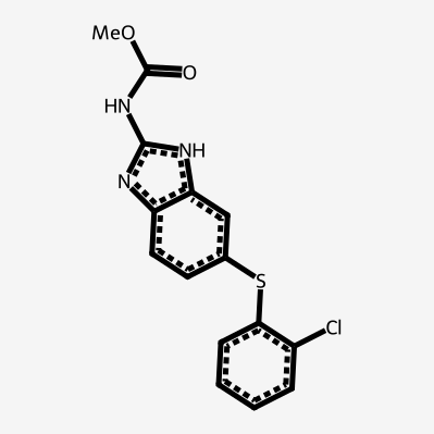 COC(=O)Nc1nc2ccc(Sc3ccccc3Cl)cc2[nH]1